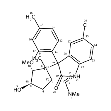 CNC(=O)[C@@H]1C[C@@H](O)C[N+]1(C)C1(c2ccc(C)cc2OC)C(=O)Nc2ccc(Cl)cc21